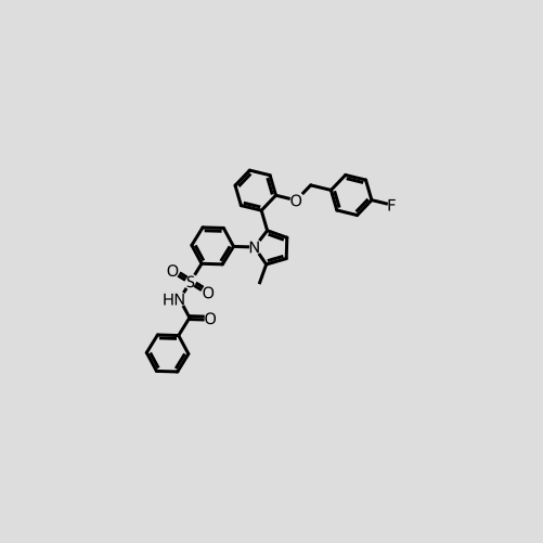 Cc1ccc(-c2ccccc2OCc2ccc(F)cc2)n1-c1cccc(S(=O)(=O)NC(=O)c2ccccc2)c1